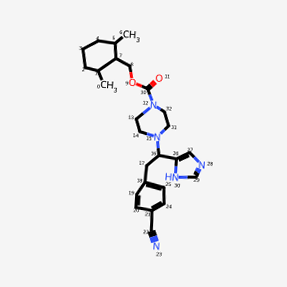 CC1CCCC(C)C1COC(=O)N1CCN(C(Cc2ccc(C#N)cc2)c2cnc[nH]2)CC1